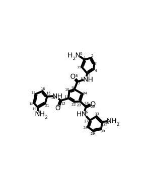 Nc1cccc(NC(=O)c2cc(C(=O)Nc3cccc(N)c3)cc(C(=O)Nc3cccc(N)c3)c2)c1